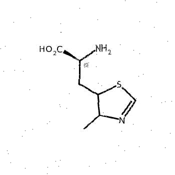 CC1N=CSC1C[C@H](N)C(=O)O